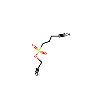 C#CCCCS(=O)(=O)OCC#C